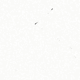 C[C@H]1CNC(=O)c2cnn3cc4c(nc23)N(Cc2cc(F)cc(F)c2O1)[C@@H]1CCC[C@@H]1O4